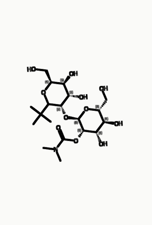 CN(C)C(=O)O[C@@H]1[C@@H](O[C@@H]2C(C(C)(C)C)O[C@@H](CO)[C@@H](O)[C@@H]2O)O[C@H](CO)[C@@H](O)[C@@H]1O